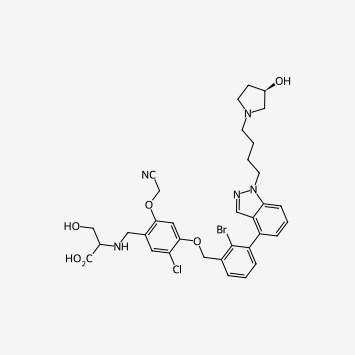 N#CCOc1cc(OCc2cccc(-c3cccc4c3cnn4CCCCN3CC[C@@H](O)C3)c2Br)c(Cl)cc1CNC(CO)C(=O)O